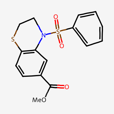 COC(=O)c1ccc2c(c1)N(S(=O)(=O)c1ccccc1)CCS2